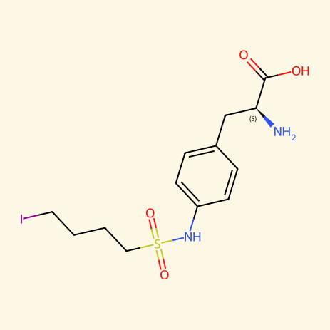 N[C@@H](Cc1ccc(NS(=O)(=O)CCCCI)cc1)C(=O)O